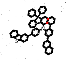 c1ccc(-c2ccc(-c3ccc4ccccc4c3)cc2N(c2ccc(-c3ccc4sc5ccccc5c4c3)cc2)c2cccc3c2-c2ccccc2C3(c2ccccc2)c2ccccc2)cc1